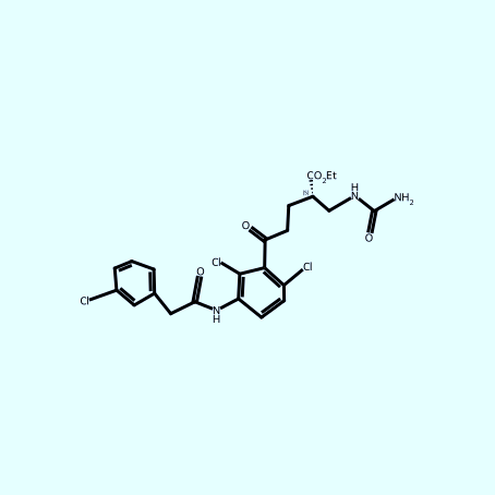 CCOC(=O)[C@@H](CCC(=O)c1c(Cl)ccc(NC(=O)Cc2cccc(Cl)c2)c1Cl)CNC(N)=O